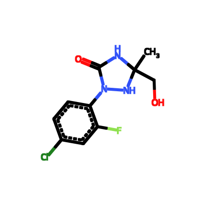 CC1(CO)NC(=O)N(c2ccc(Cl)cc2F)N1